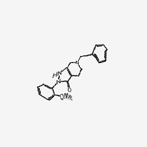 COc1ccccc1-n1[nH]c2c(c1=O)CCN(Cc1ccccc1)C2